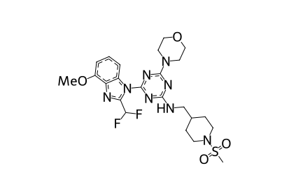 COc1cccc2c1nc(C(F)F)n2-c1nc(NCC2CCN(S(C)(=O)=O)CC2)nc(N2CCOCC2)n1